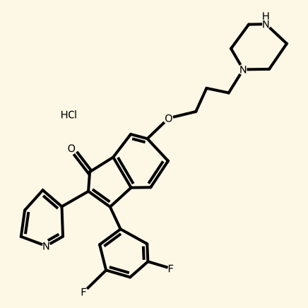 Cl.O=C1C(c2cccnc2)=C(c2cc(F)cc(F)c2)c2ccc(OCCCN3CCNCC3)cc21